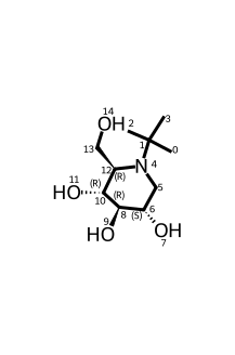 CC(C)(C)N1C[C@H](O)[C@@H](O)[C@H](O)[C@H]1CO